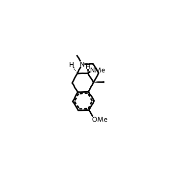 CN[C@H]1[C@H]2Cc3ccc(OC)cc3[C@@]1(C)CCN2C